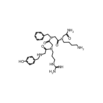 N=C(N)NCCCN(CC(=O)N(CC(=O)N(CCCCN)CC(N)=O)Cc1ccccc1)C(=O)CNCc1ccc(O)cc1